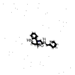 O=C(/C=C1/c2ccccc2NCCC1(F)F)NCc1ccccn1